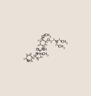 CCN(CC)CCOc1cc(NC(=O)C2(C)CSC(c3cccnc3)=N2)ccc1OC